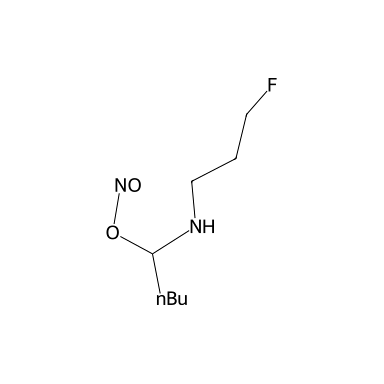 CCCCC(NCCCF)ON=O